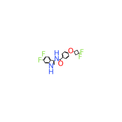 O=C(Nc1c[nH]c2cc(F)c(F)cc12)c1ccc(OC2CC(F)(F)C2)cc1